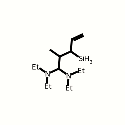 C=CC([SiH3])C(C)C(N(CC)CC)N(CC)CC